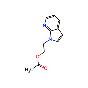 CC(=O)OCCn1ccc2cccnc21